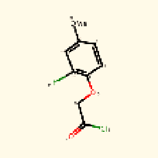 COc1ccc(OCC(=O)Cl)c(F)c1